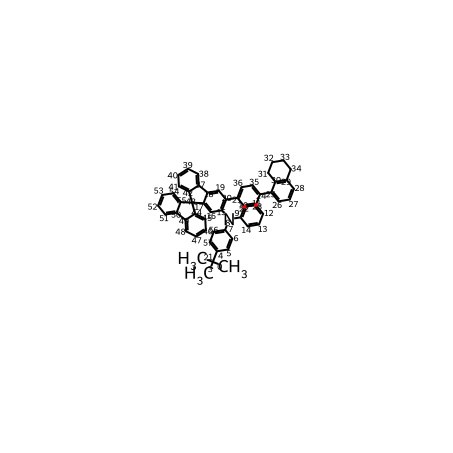 CC(C)(C)c1ccc(N(c2ccccc2)c2cc3c(cc2-c2ccc(-c4cccc5c4CCCC5)cc2)-c2ccccc2C32c3ccccc3-c3ccccc32)cc1